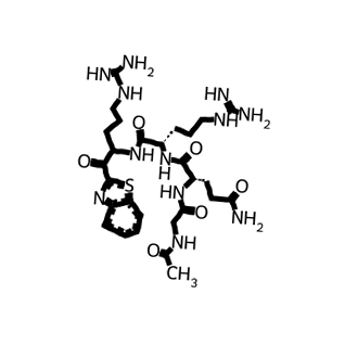 CC(=O)NCC(=O)N[C@@H](CCC(N)=O)C(=O)N[C@@H](CCCNC(=N)N)C(=O)NC(CCCNC(=N)N)C(=O)c1nc2ccccc2s1